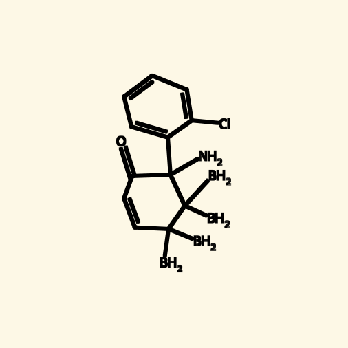 BC1(B)C=CC(=O)C(N)(c2ccccc2Cl)C1(B)B